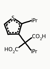 CC(C)c1sccc1C(C(=O)O)(C(=O)O)C(C)C